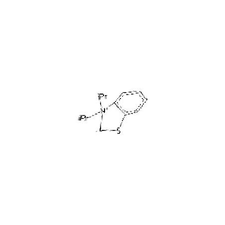 CC(C)[N+]1(C(C)C)[CH]Sc2ccccc21